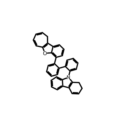 C1=CCc2c(oc3c(-c4ccccc4-c4ccccc4-n4c5c(c6ccccc64)C=CCC5)cccc23)C=C1